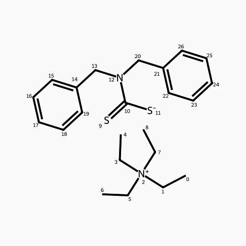 CC[N+](CC)(CC)CC.S=C([S-])N(Cc1ccccc1)Cc1ccccc1